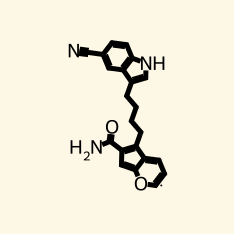 N#Cc1ccc2[nH]cc(CCCCc3c(C(N)=O)cc4o[c]ccc3-4)c2c1